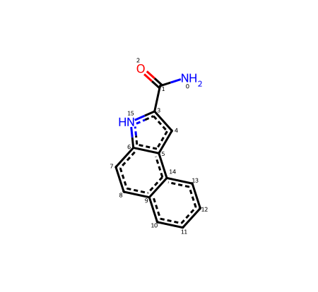 NC(=O)c1cc2c(ccc3ccccc32)[nH]1